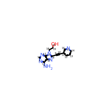 Nc1ncnc2c1nc(C#Cc1cccnc1)n2CCO